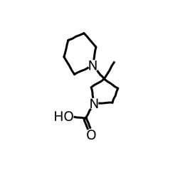 CC1(N2CCCCC2)CCN(C(=O)O)C1